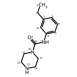 CCc1cccc(NC(=O)N2CCNCC2)c1